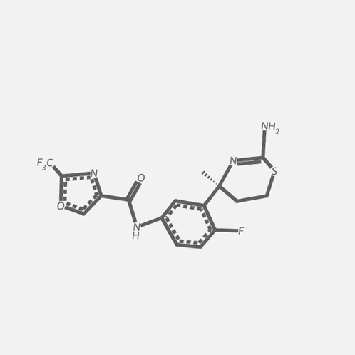 C[C@@]1(c2cc(NC(=O)c3coc(C(F)(F)F)n3)ccc2F)CCSC(N)=N1